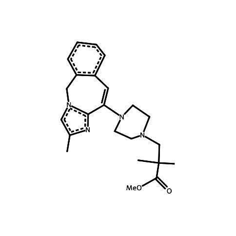 COC(=O)C(C)(C)CN1CCN(C2=Cc3ccccc3Cn3cc(C)nc32)CC1